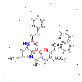 CC(=O)OCC(=O)C(CC(=O)O)NC(=O)C(NC(=O)C(CCC(=O)O)NC(=O)CCc1ccccc1)C(C)C.c1ccc2ccccc2c1